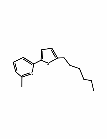 CCCCCCc1ccc(-c2cccc(C)n2)s1